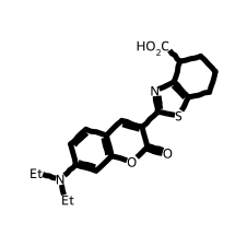 CCN(CC)c1ccc2cc(-c3nc4c(s3)CCCC4C(=O)O)c(=O)oc2c1